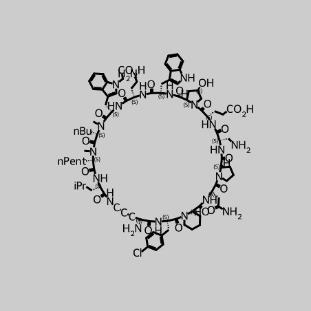 CCCCC[C@H]1C(=O)N[C@@H](CC(C)C)C(=O)NCCC[C@@H](N)C(=O)N[C@@H](Cc2ccc(Cl)cc2)C(=O)N2CCCC[C@H]2C(=O)N[C@@H](CC(N)=O)C(=O)N2CCC[C@H]2C(=O)N[C@@H](CN)C(=O)N[C@@H](CCC(=O)O)C(=O)N2C[C@H](O)C[C@H]2C(=O)N[C@@H](Cc2c[nH]c3ccccc23)C(=O)N[C@@H](CCN)C(=O)N[C@@H](Cc2cn(CC(=O)O)c3ccccc23)C(=O)N(C)[C@@H](CCCC)C(=O)N1C